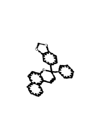 C1=CC(c2ccccc2)(c2ccc3c(c2)OCO3)Oc2ccc3ccccc3c21